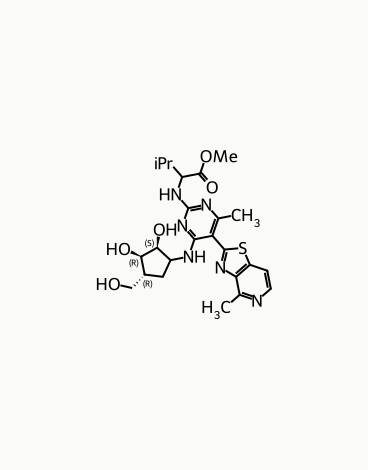 COC(=O)C(Nc1nc(C)c(-c2nc3c(C)nccc3s2)c(NC2C[C@H](CO)[C@@H](O)[C@H]2O)n1)C(C)C